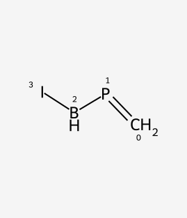 C=PBI